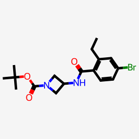 CCc1cc(Br)ccc1C(=O)NC1CN(C(=O)OC(C)(C)C)C1